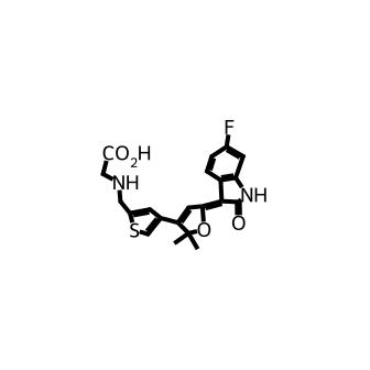 CC1(C)OC(=C2C(=O)Nc3cc(F)ccc32)C=C1c1csc(CNCC(=O)O)c1